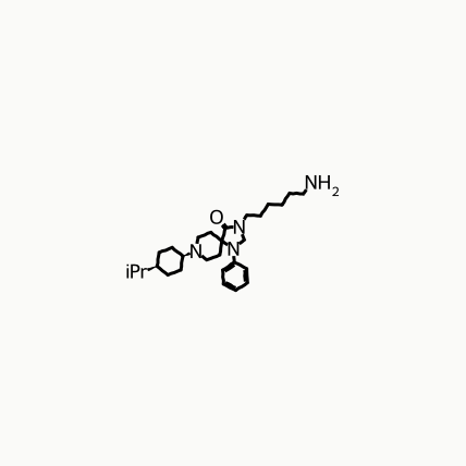 CC(C)[C@H]1CC[C@@H](N2CCC3(CC2)C(=O)N(CCCCCCN)CN3c2ccccc2)CC1